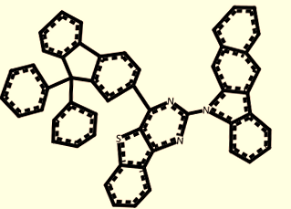 c1ccc(C2(c3ccccc3)c3ccccc3-c3ccc(-c4nc(-n5c6ccccc6c6cc7ccccc7cc65)nc5c4sc4ccccc45)cc32)cc1